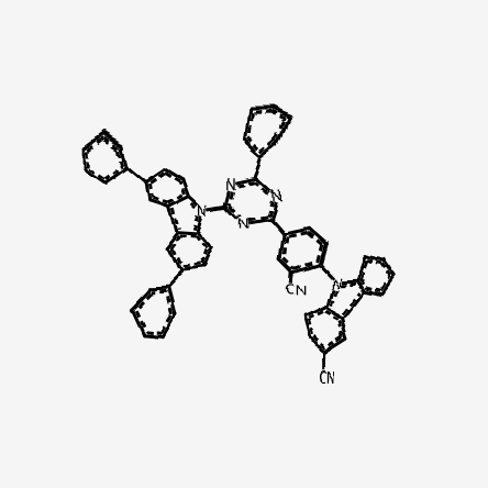 N#Cc1ccc2c(c1)c1ccccc1n2-c1ccc(-c2nc(-c3ccccc3)nc(-n3c4ccc(-c5ccccc5)cc4c4cc(-c5ccccc5)ccc43)n2)cc1C#N